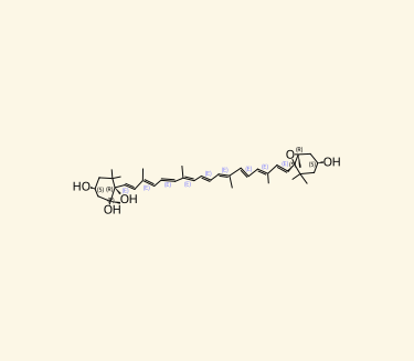 CC(/C=C/C=C(C)/C=C/[C@@]1(O)C(C)(C)C[C@H](O)C[C@@]1(C)O)=C\C=C\C=C(C)\C=C\C=C(C)\C=C\[C@@]12O[C@]1(C)C[C@@H](O)CC2(C)C